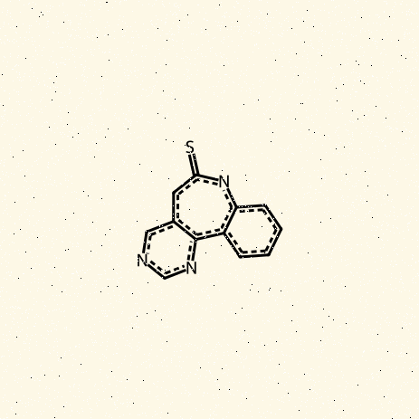 S=c1cc2cncnc2c2ccccc2n1